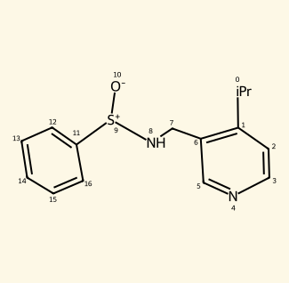 CC(C)c1ccncc1CN[S+]([O-])c1ccccc1